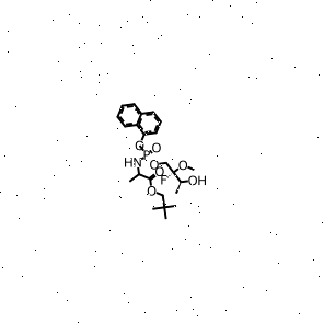 CO[C@](F)(COP(=O)(NC(C)C(=O)OCC(C)(C)C)Oc1cccc2ccccc12)[C@H](C)O